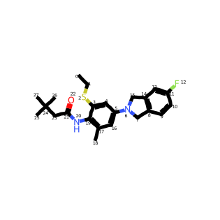 CCSc1cc(N2Cc3ccc(F)cc3C2)cc(C)c1NC(=O)CC(C)(C)C